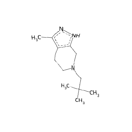 Cc1n[nH]c2c1CCN(CC(C)(C)C)C2